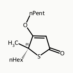 CCCCCC[C@@]1(C)SC(=O)C=C1OCCCCC